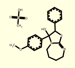 COc1ccc(C2(O)C(c3ccccc3)SC3=NCCCCN32)cc1.CS(=O)(=O)O